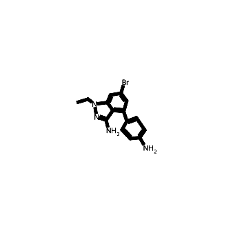 CCn1nc(N)c2c(-c3ccc(N)cc3)cc(Br)cc21